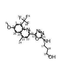 COc1cc(C(F)(F)F)c2nc(-c3nnc(NCCCO)o3)cc(C)c2c1